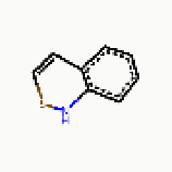 C1=Cc2ccccc2NS1